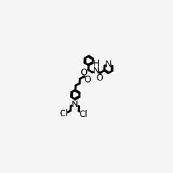 O=C(CCCc1ccc(N(CCCl)CCCl)cc1)OC(CNC(=O)c1cccnc1)c1ccccc1